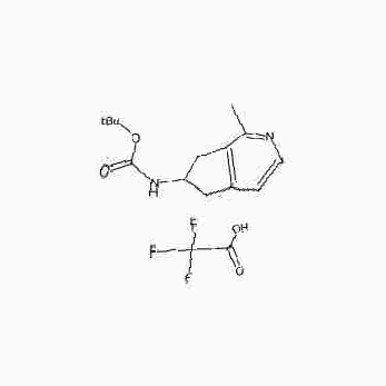 Cc1nccc2c1CC(NC(=O)OC(C)(C)C)C2.O=C(O)C(F)(F)F